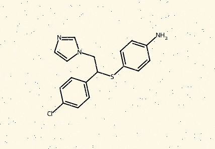 Nc1ccc(SC(Cn2ccnc2)c2ccc(Cl)cc2)cc1